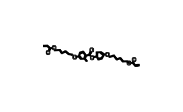 C=CC(=O)OCCCCCCOc1ccc(OC(=O)c2ccc(OCCCCCCOC(=O)C=C)cc2C)cc1